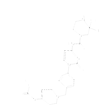 CC1(C)CN(C(=O)Nc2ccn(-c3ccc(CN4CCC(NC(=O)OC(C)(C)C)CC4)cc3)c(=O)n2)CCN1